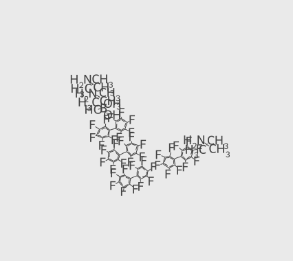 CC(C)(C)N.CC(C)(C)N.CC(C)(C)N.Fc1c(F)c(F)c(-c2c(F)c(F)c(F)c(F)c2F)c(F)c1F.Fc1c(F)c(F)c(-c2c(F)c(F)c(F)c(F)c2F)c(F)c1F.Fc1c(F)c(F)c(-c2c(F)c(F)c(F)c(F)c2F)c(F)c1F.Fc1c(F)c(F)c(-c2c(F)c(F)c(F)c(F)c2F)c(F)c1F.OB(O)O